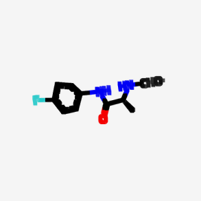 C[C@H](N[C]=O)C(=O)Nc1ccc(F)cc1